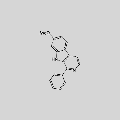 COc1ccc2c(c1)[nH]c1c(-c3ccccc3)nccc12